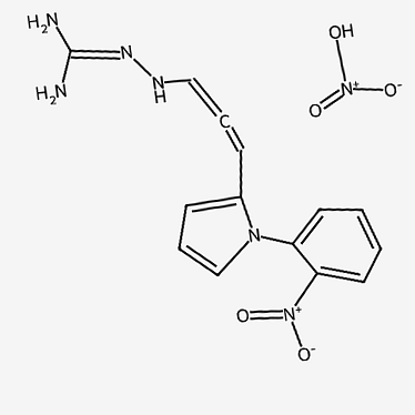 NC(N)=NNC=C=Cc1cccn1-c1ccccc1[N+](=O)[O-].O=[N+]([O-])O